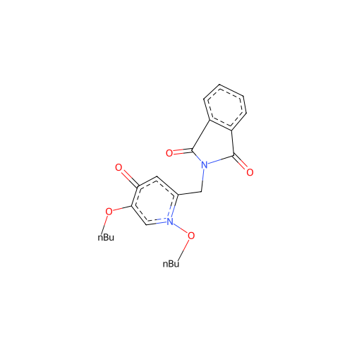 CCCCOc1cn(OCCCC)c(CN2C(=O)c3ccccc3C2=O)cc1=O